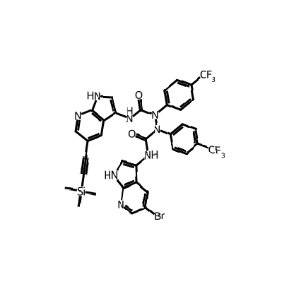 C[Si](C)(C)C#Cc1cnc2[nH]cc(NC(=O)N(c3ccc(C(F)(F)F)cc3)N(C(=O)Nc3c[nH]c4ncc(Br)cc34)c3ccc(C(F)(F)F)cc3)c2c1